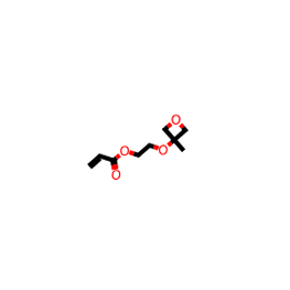 C=CC(=O)OCCOC1(C)COC1